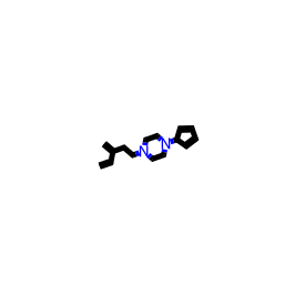 C=CC(=C)CCN1CCN(C2C=CC=C2)CC1